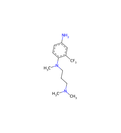 CN(C)CCCN(C)c1ccc(N)cc1C(F)(F)F